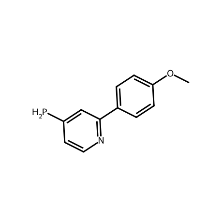 COc1ccc(-c2cc(P)ccn2)cc1